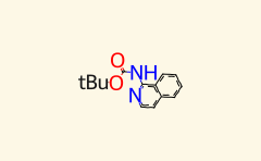 CC(C)(C)OC(=O)Nc1nccc2ccccc12